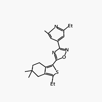 CCc1cc(-c2noc(-c3sc(CC)c4c3CCC(C)(C)C4)n2)cc(C)n1